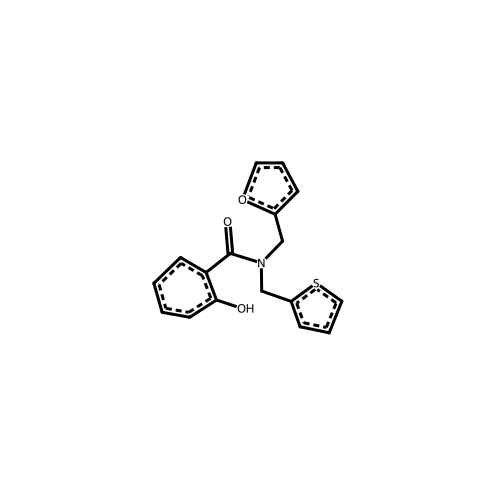 O=C(c1ccccc1O)N(Cc1ccco1)Cc1cccs1